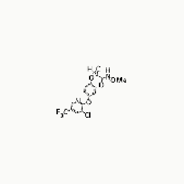 CONC(=O)C(C)Oc1ccc(Oc2ncc(C(F)(F)F)cc2Cl)cc1